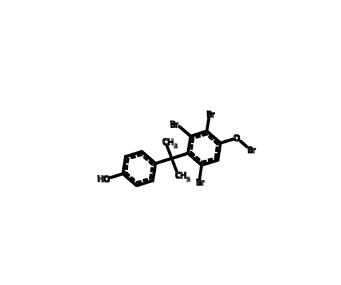 CC(C)(c1ccc(O)cc1)c1c(Br)cc(OBr)c(Br)c1Br